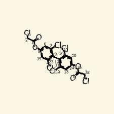 O=C(CCl)Oc1cc(Cl)c(-c2c(Cl)cc(OC(=O)CCl)cc2Cl)c(Cl)c1